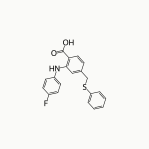 O=C(O)c1ccc(CSc2ccccc2)cc1Nc1ccc(F)cc1